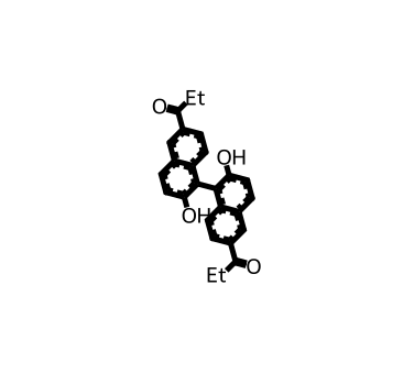 CCC(=O)c1ccc2c(-c3c(O)ccc4cc(C(=O)CC)ccc34)c(O)ccc2c1